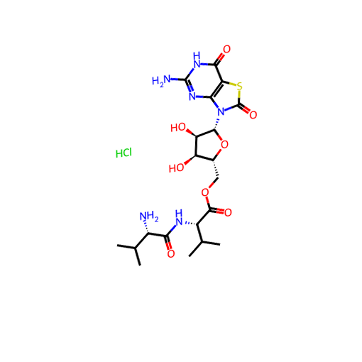 CC(C)[C@H](N)C(=O)N[C@H](C(=O)OC[C@H]1O[C@@H](n2c(=O)sc3c(=O)[nH]c(N)nc32)[C@H](O)[C@@H]1O)C(C)C.Cl